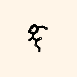 CCOC(=O)C(C)c1cccc(CBr)c1